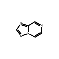 c1cn2ncnc2cn1